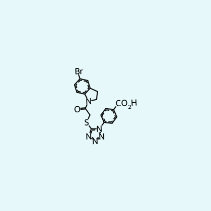 O=C(O)c1ccc(-n2nnnc2SCC(=O)N2CCc3cc(Br)ccc32)cc1